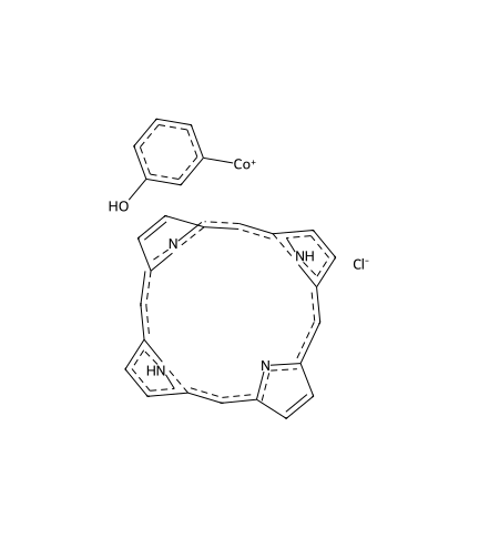 C1=Cc2cc3ccc(cc4nc(cc5ccc(cc1n2)[nH]5)C=C4)[nH]3.Oc1ccc[c]([Co+])c1.[Cl-]